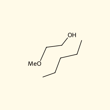 CCCCC.COCCO